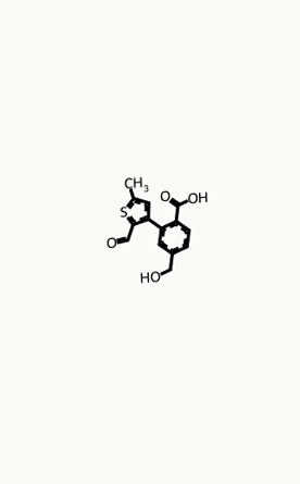 Cc1cc(-c2cc(CO)ccc2C(=O)O)c(C=O)s1